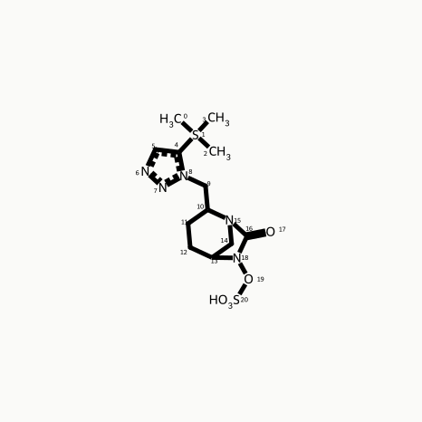 CS(C)(C)c1cnnn1CC1CCC2CN1C(=O)N2OS(=O)(=O)O